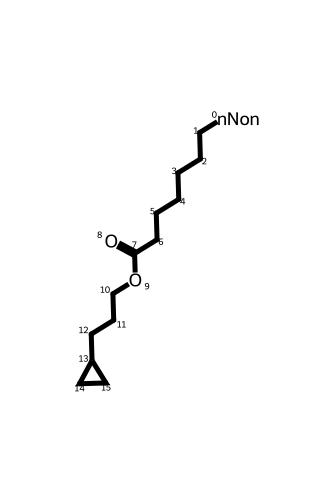 CCCCCCCCCCCCCCCC(=O)OCCCC1CC1